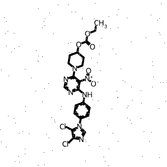 CCOC(=O)OC1CCN(c2ncnc(Nc3ccc(-n4cnc(Cl)c4Cl)cc3)c2[N+](=O)[O-])CC1